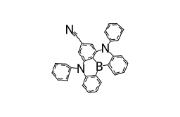 N#Cc1cc2c3c(c1)N(c1ccccc1)c1ccccc1B3c1ccccc1N2c1ccccc1